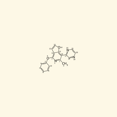 Cc1nc(Oc2ccccc2)c2ccoc2c1-c1cnccn1